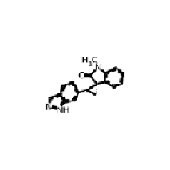 CN1C(=O)[C@@]2(C[C@H]2c2ccc3cn[nH]c3c2)c2ccccc21